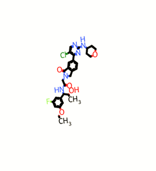 CCOc1cc(F)cc(C(NC(=O)CN2Cc3ccc(-c4nc(NC5CCOCC5)ncc4Cl)cc3C2=O)C(C)O)c1